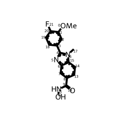 COc1cc(-c2nc3cc(C(=O)NO)ccc3n2C)ccc1F